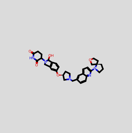 O=C1CCC(N2Cc3cc(O[C@H]4CCN(Cc5ccc6nc(N7CCC[C@@]78CCOC8)ccc6c5)C4)ccc3C2O)C(=O)N1